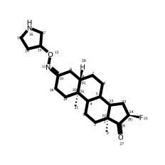 C[C@]12CCC3C(CC[C@H]4CC(=NOC5CCNC5)CC[C@]34C)C1C[C@@H](F)C2=O